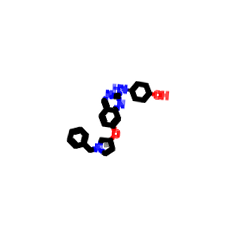 O[C@H]1CC[C@H](Nc2ncc3ccc(O[C@H]4CCN(Cc5ccccc5)C4)cc3n2)CC1